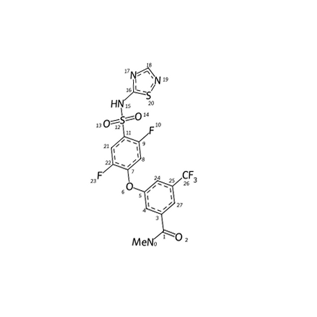 CNC(=O)c1cc(Oc2cc(F)c(S(=O)(=O)Nc3ncns3)cc2F)cc(C(F)(F)F)c1